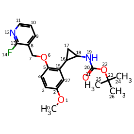 COc1ccc(OCc2cccnc2F)c(C2CC2NC(=O)OC(C)(C)C)c1